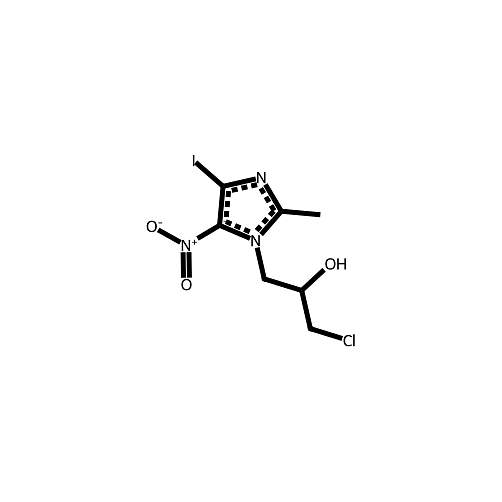 Cc1nc(I)c([N+](=O)[O-])n1CC(O)CCl